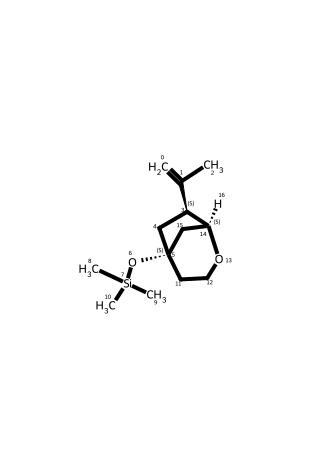 C=C(C)[C@@H]1C[C@]2(O[Si](C)(C)C)CCO[C@H]1C2